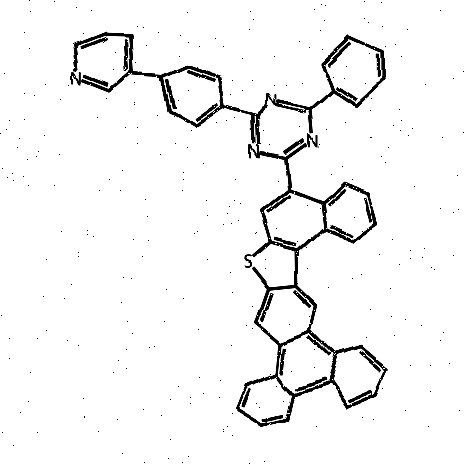 c1ccc(-c2nc(-c3ccc(-c4cccnc4)cc3)nc(-c3cc4sc5cc6c7ccccc7c7ccccc7c6cc5c4c4ccccc34)n2)cc1